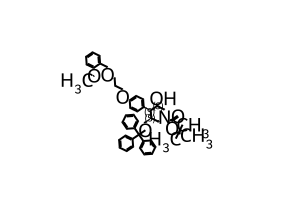 COc1ccccc1COCCCOc1ccc([C@@H]2[C@H](COC(c3ccccc3)(c3ccccc3)c3ccccc3)CN(C(=O)OC(C)(C)C)C[C@H]2O)cc1